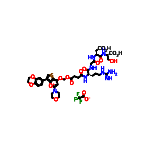 N=C(N)NCCC[C@H](NC(=O)CCC(=O)OCOc1cc(N2CCOCC2)[o+]c2c(-c3ccc4c(c3)OCCO4)csc12)C(=O)NCC(=O)N[C@@H](CC(=O)O)C(=O)N[C@@H](CO)C(=O)O.O=C([O-])C(F)(F)F